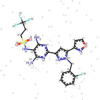 Nc1nc(-c2cc(-c3ccon3)n(Cc3ccccc3F)n2)nc(N)c1NS(=O)(=O)CCC(F)(F)F